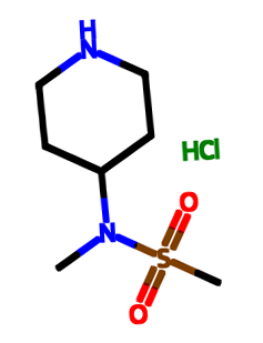 CN(C1CCNCC1)S(C)(=O)=O.Cl